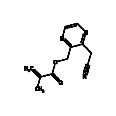 C=C(C)C(=O)OCc1nccnc1CC#N